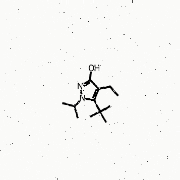 CCc1c(O)nn(C(C)C)c1C(C)(C)C